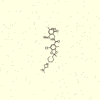 CSc1cc(C)[nH]c(=O)c1CNC(=O)c1cc(Cl)c2c(c1C)O[C@](C)([C@H]1CC[C@@H](N3CC(N(C)C)C3)CC1)O2